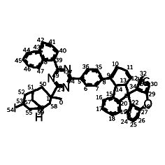 CC1(c2nc(-c3ccc(C4=CC=CC5C4c4ccccc4C54c5ccccc5Oc5ccccc54)cc3)nc(-c3cccc4ccccc34)n2)CC2CC(I)C[C@H](C2)C1